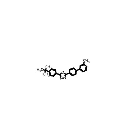 Cc1cccc(-c2ccc(-c3nnc(-c4ccc(C(C)(C)C)cc4)o3)cc2)c1